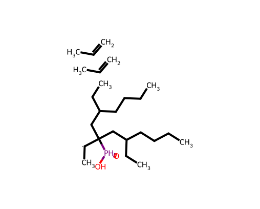 C=CC.C=CC.C[CH]C(CC(CC)CCCC)(CC(CC)CCCC)[PH](=O)O